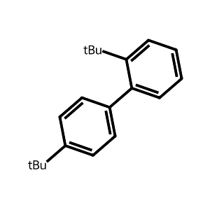 CC(C)(C)c1ccc(-c2ccccc2C(C)(C)C)cc1